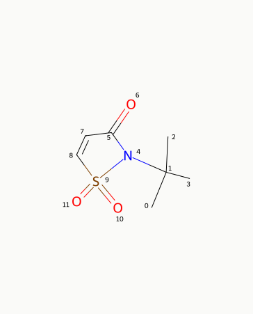 CC(C)(C)N1C(=O)C=CS1(=O)=O